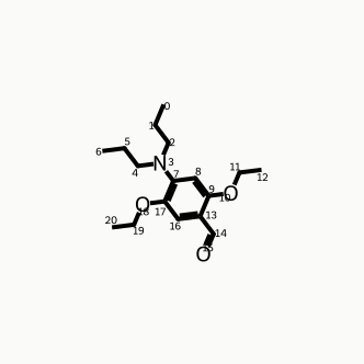 CCCN(CCC)c1cc(OCC)c(C=O)cc1OCC